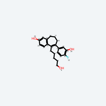 OCCCCCC1=C(c2ccc(F)c(O)c2)CCCc2cc(O)ccc21